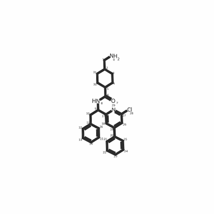 NCC1CCC(C(=O)NC(Cc2ccccc2)c2cc(-c3ccccc3)cc(Cl)n2)CC1